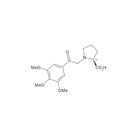 COc1cc(C(=O)CN2CCC[C@H]2C(=O)O)cc(OC)c1OC